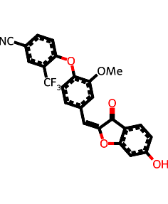 COc1cc(C=C2Oc3cc(O)ccc3C2=O)ccc1Oc1ccc(C#N)cc1C(F)(F)F